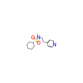 CN(CCc1ccncc1)S(=O)(=O)C1CCCCC1